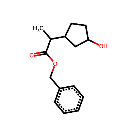 CC(C(=O)OCc1ccccc1)C1CCC(O)C1